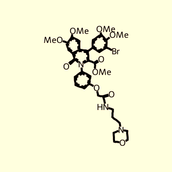 COC(=O)c1c(-c2cc(Br)c(OC)c(OC)c2)c2cc(OC)c(OC)cc2c(=O)n1-c1cccc(OCC(=O)NCCCN2CCOCC2)c1